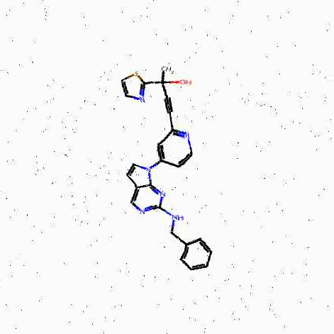 CC(O)(C#Cc1cc(-n2ccc3cnc(NCc4ccccc4)nc32)ccn1)c1nccs1